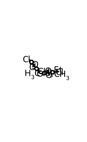 CCC(C)(Cl)c1ccc(S(=O)(=O)c2ccc(OC(C)(C)c3ccc(S(=O)(=O)c4ccc(Cl)cc4)cc3)cc2)cc1